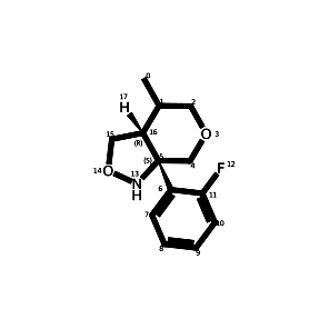 CC1COC[C@]2(c3ccccc3F)NOC[C@H]12